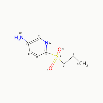 CCCS(=O)(=O)c1ccc(N)cn1